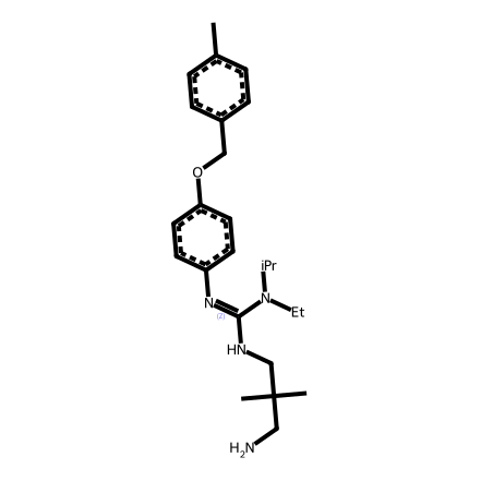 CCN(/C(=N\c1ccc(OCc2ccc(C)cc2)cc1)NCC(C)(C)CN)C(C)C